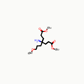 CC(C)(C)OCCCC(N)(CCC(=O)OC(C)(C)C)CCC(=O)OC(C)(C)C